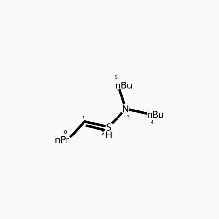 CCCC=[SH]N(CCCC)CCCC